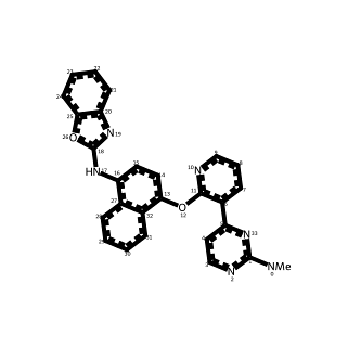 CNc1nccc(-c2cccnc2Oc2ccc(Nc3nc4ccccc4o3)c3ccccc23)n1